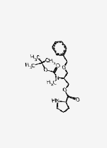 CN(C(=O)OC(C)(C)C)C(COCc1ccccc1)COC(=O)C1CCCN1